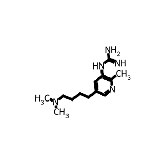 Cc1ncc(CCCCN(C)C)cc1NC(=N)N